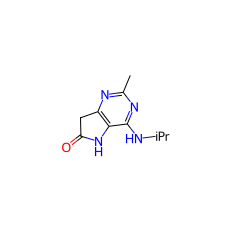 Cc1nc2c(c(NC(C)C)n1)NC(=O)C2